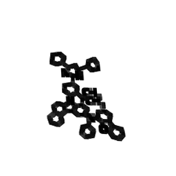 CC1(C)c2cc(-c3nc(-c4ccccc4)cc(-c4ccccc4)n3)ccc2-n2c3ccc4ccccc4c3c3cc(N(c4ccccc4)c4cccc5c4oc4ccccc45)cc1c32